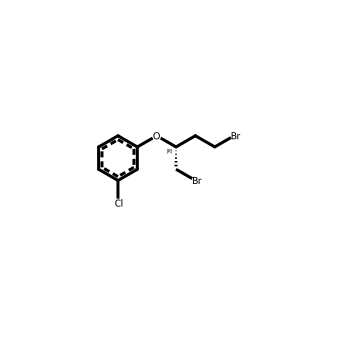 Clc1cccc(O[C@@H](CBr)CCBr)c1